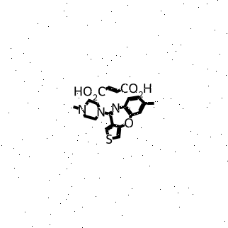 Cc1ccc2c(c1)Oc1cscc1C(N1CCN(C)CC1)=N2.O=C(O)C=CC(=O)O